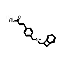 O=C(/C=C/c1ccc(CNCC2CC3=C=CCC=C32)cc1)NO